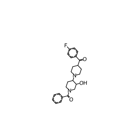 O=C(c1ccc(F)cc1)C1CCN(C2CCN(C(=O)c3ccccc3)CC2O)CC1